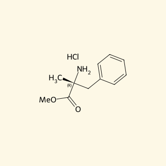 COC(=O)[C@](C)(N)Cc1ccccc1.Cl